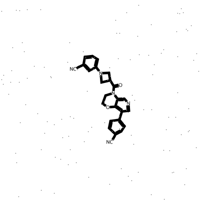 N#Cc1ccc(-c2cncc3c2OCCN3C(=O)C2CN(c3cccc(C#N)c3)C2)cc1